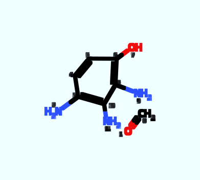 C=O.Nc1ccc(O)c(N)c1N